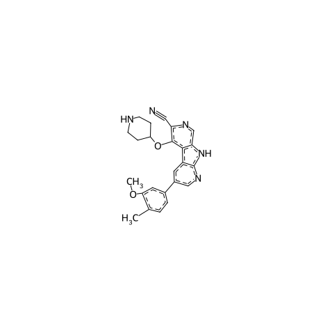 COc1cc(-c2cnc3[nH]c4cnc(C#N)c(OC5CCNCC5)c4c3c2)ccc1C